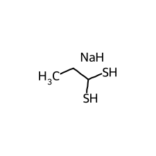 CCC(S)S.[NaH]